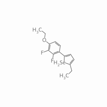 CCOc1ccc(C2=CC=C(CC)[SeH2]2)c(F)c1F